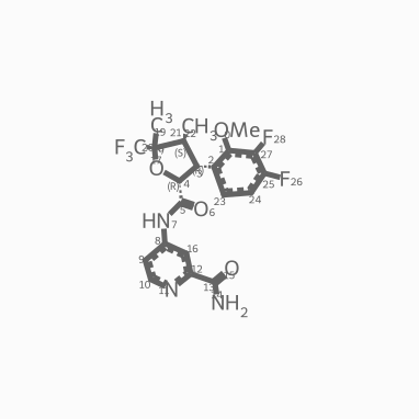 COc1c([C@@H]2[C@H](C(=O)Nc3ccnc(C(N)=O)c3)O[C@@](C)(C(F)(F)F)[C@H]2C)ccc(F)c1F